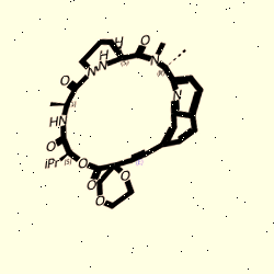 CC(C)[C@@H]1OC(=O)C2(/C=C/c3ccc4ccc(nc4c3)[C@@H](C)N(C)C(=O)[C@@H]3CCCN(N3)C(=O)[C@H](C)NC1=O)COCCO2